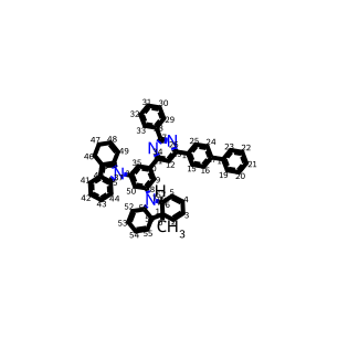 CC12C=CC=C[C@@H]1N(c1cc(-c3cc(-c4ccc(-c5ccccc5)cc4)nc(-c4ccccc4)n3)cc(-n3c4c(c5ccccc53)CCC=C4)c1)C1C=CC=CC12